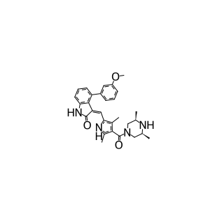 COc1cccc(-c2cccc3c2/C(=C/c2[nH]c(C)c(C(=O)N4C[C@@H](C)N[C@@H](C)C4)c2C)C(=O)N3)c1